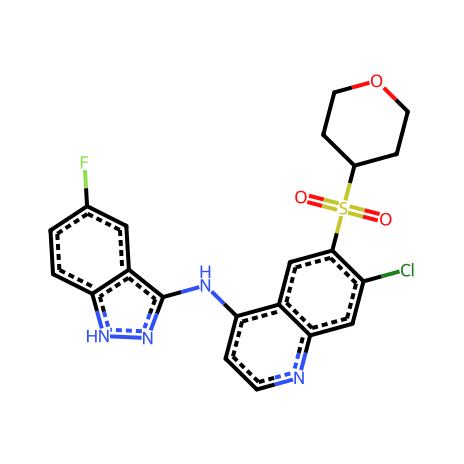 O=S(=O)(c1cc2c(Nc3n[nH]c4ccc(F)cc34)ccnc2cc1Cl)C1CCOCC1